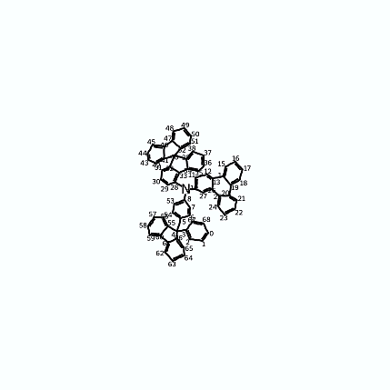 c1ccc(C2(c3ccc(N(c4ccc5c6ccccc6c6ccccc6c5c4)c4cccc5c4-c4ccccc4C54c5ccccc5-c5ccccc54)cc3)c3ccccc3-c3ccccc32)cc1